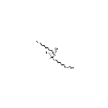 CCCCCCCCCCCCCCCCCC(=O)O[Si](CCCCCCCCS)(OCC)OCC